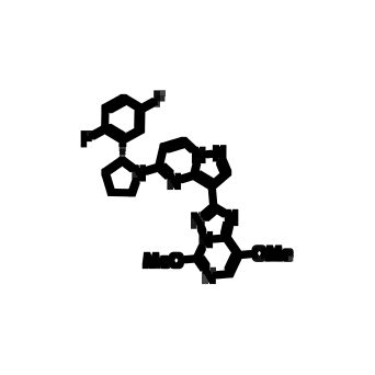 COc1cnc(OC)n2nc(-c3cnn4ccc(N5CCC[C@@H]5c5cc(F)ccc5F)nc34)nc12